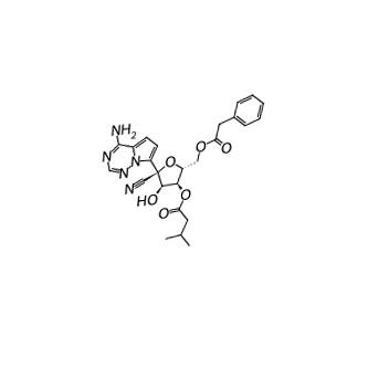 CC(C)CC(=O)O[C@H]1[C@@H](O)[C@](C#N)(c2ccc3c(N)ncnn23)O[C@@H]1COC(=O)Cc1ccccc1